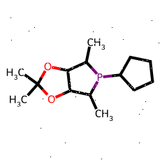 CC1C2OC(C)(C)OC2C(C)P1C1CCCC1